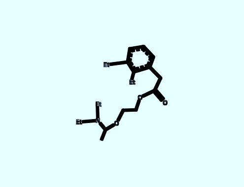 CCc1cccc(CC(=O)OCCOC(C)N(CC)CC)c1CC